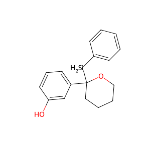 Oc1cccc(C2([SiH2]c3ccccc3)CCCCO2)c1